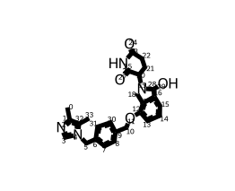 Cc1ncn(Cc2ccc(COc3cccc4c3CN(C3CCC(=O)NC3=O)C4O)cc2)c1C